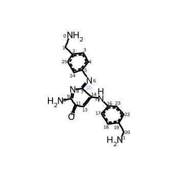 NCc1ccc(/N=C2\N=C(N)C(=O)C=C2Nc2ccc(CN)cc2)cc1